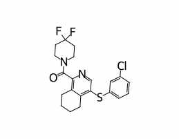 O=C(c1ncc(Sc2cccc(Cl)c2)c2c1CCCC2)N1CCC(F)(F)CC1